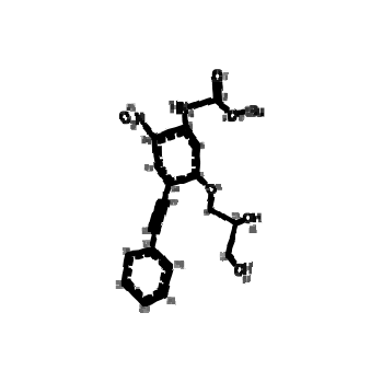 CC(C)(C)OC(=O)Nc1cc(OCC(O)CO)c(C#Cc2ccccc2)cc1[N+](=O)[O-]